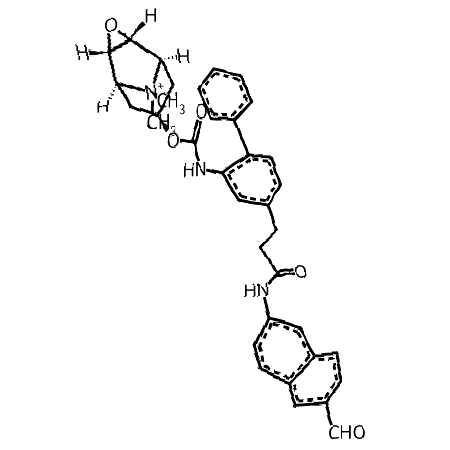 C[N+]1(C)[C@@H]2C[C@@H](OC(=O)Nc3cc(CCC(=O)Nc4ccc5cc(C=O)ccc5c4)ccc3-c3ccccc3)C[C@H]1[C@@H]1O[C@@H]12